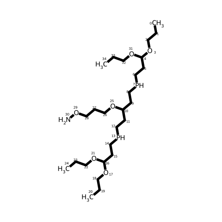 CCCOC(CCPCCC(CCPCCC(OCCC)OCCC)OCCCON)OCCC